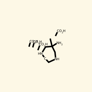 CC(=O)O.CC(=O)O.CC(=O)O.CC(=O)O.CC1(N)CNCCNC1